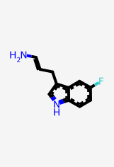 NC=CCc1c[nH]c2ccc(F)cc12